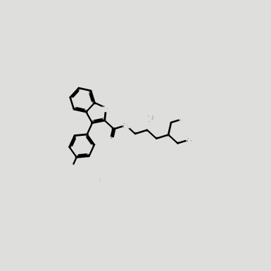 Cl.NCC(CO)C[C@@H](N)CNC(=O)c1[nH]c2ccccc2c1-c1ccc(F)cc1